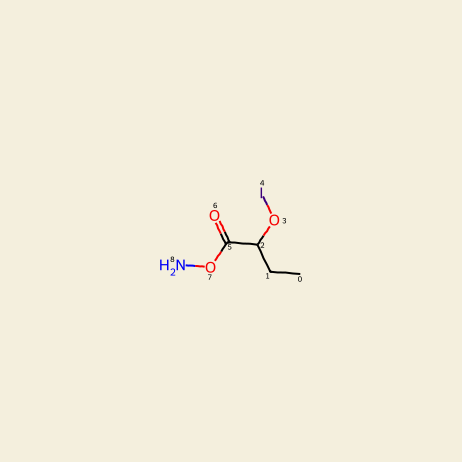 CCC(OI)C(=O)ON